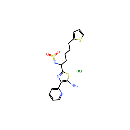 Cl.Nc1sc(C(CCCCc2cccs2)N=S(=O)=O)nc1-c1ccccn1